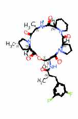 C[C@H]1C[C@H]2C(=O)O[C@@H](C)[C@H](NC(=O)[C@@H](C)Cc3cc(F)cc(F)c3)C(=O)N3CCC[C@H]3C(=O)N3CCCC[C@H]3C(=O)N[C@@H](C)C(=O)N2C1